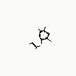 CC=C(C#N)Oc1cc(I)c(OC)cc1I